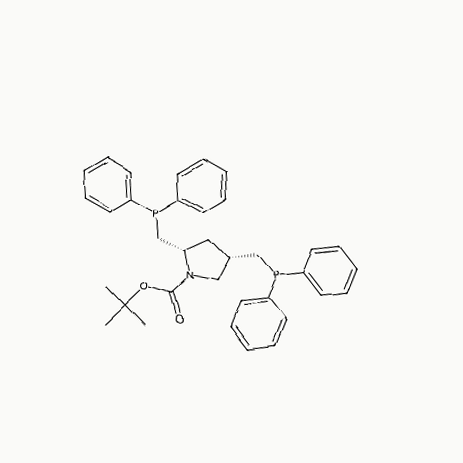 CC(C)(C)OC(=O)N1C[C@@H](CP(c2ccccc2)c2ccccc2)C[C@H]1CP(c1ccccc1)c1ccccc1